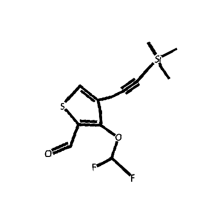 C[Si](C)(C)C#Cc1csc(C=O)c1OC(F)F